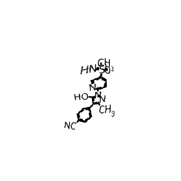 Cc1nn(-c2ccc(S(C)(=N)=O)cn2)c(O)c1-c1ccc(C#N)cc1